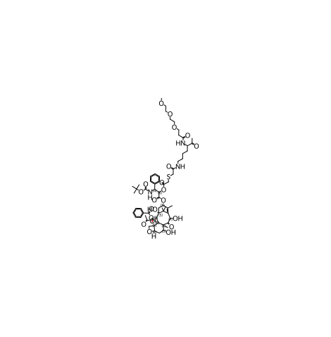 COCCOCCOCCC(=O)NC(CCCCNC(=O)CSCC(=O)O[C@@H](C(=O)O[C@H]1C[C@@]2(O)[C@@H](OC(=O)c3ccccc3)[C@@H]3[C@]4(OC(C)=O)CO[C@@H]4C[C@H](O)[C@@]3(C)C(=O)[C@H](O)C(=C1C)C2(C)C)[C@@H](NC(=O)OC(C)(C)C)c1ccccc1)C(C)=O